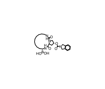 O=C1N[C@H](B(O)O)CCCCCCCCCNC(=O)N2C[C@H](OC(=O)N3Cc4ccccc4C3)CC12